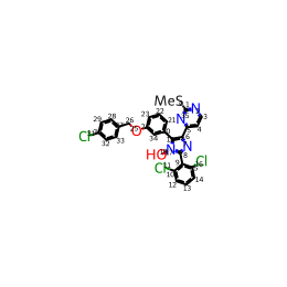 CSc1nccc(-c2nc(-c3c(Cl)cccc3Cl)n(O)c2-c2cccc(OCc3ccc(Cl)cc3)c2)n1